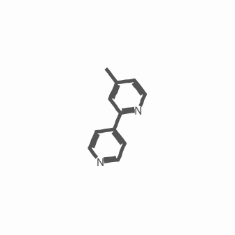 Cc1ccnc(-c2ccncc2)c1